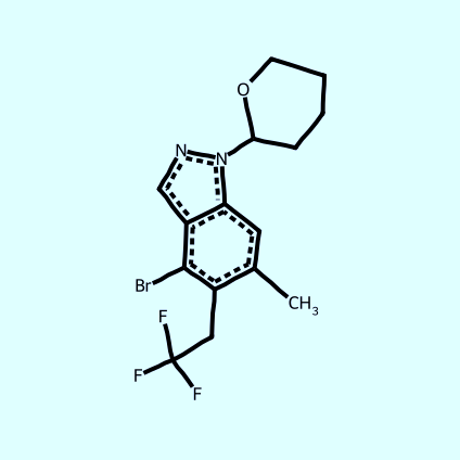 Cc1cc2c(cnn2C2CCCCO2)c(Br)c1CC(F)(F)F